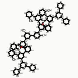 N#Cc1cc(-c2ccc(C#N)c(-c3ccc4c(c3)c3cc(-c5ccccc5C#N)ccc3n4-c3c(-c4ccccc4C#N)cc(-c4cc(-c5ccccc5)nc(-c5ccccc5)n4)cc3-c3ccccc3C#N)c2)cc(-c2ccc3c(c2)c2ccccc2n3-c2c(-c3ccccc3C#N)cc(-c3cc(-c4ccccc4)nc(-c4ccccc4)n3)cc2-c2ccccc2C#N)c1